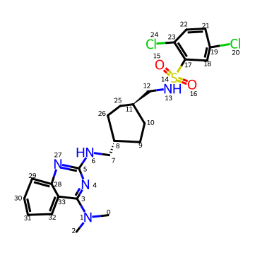 CN(C)c1nc(NC[C@H]2CC[C@H](CNS(=O)(=O)c3cc(Cl)ccc3Cl)CC2)nc2ccccc12